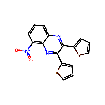 O=[N+]([O-])c1cccc2nc(-c3cccs3)c(-c3cccs3)nc12